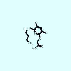 CCCCN.O=C(O)COc1nc(F)c(Cl)cc1Cl